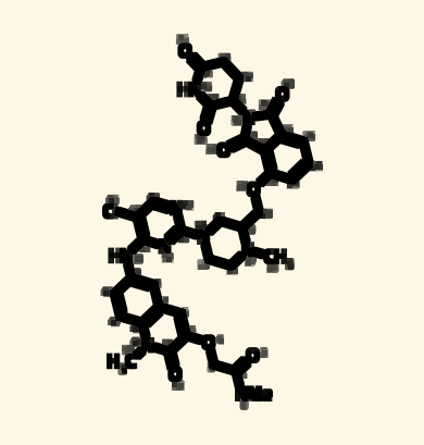 CNC(=O)COc1cc2cc(Nc3nc(N4CCN(C)C(COc5cccc6c5C(=O)N(C5CCC(=O)NC5=O)C6=O)C4)ncc3Cl)ccc2n(C)c1=O